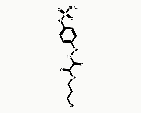 CC(=O)NS(=O)(=O)Nc1ccc(NNC(=O)C(=O)NCCCO)cc1